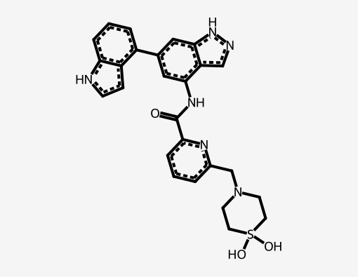 O=C(Nc1cc(-c2cccc3[nH]ccc23)cc2[nH]ncc12)c1cccc(CN2CCS(O)(O)CC2)n1